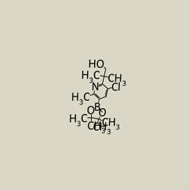 Cc1nc(C(C)(C)CO)c(Cl)cc1B1OC(C)(C)C(C)(C)O1